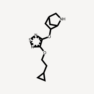 C(CC1CC1)Oc1nsnc1OC1CC2CNC1C2